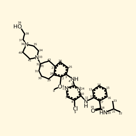 COc1c(Nc2ncc(Cl)c(Nc3ccccc3C(=O)NC(C)C)n2)ccc2c1CCC[C@@H](N1CCN(CCO)CC1)C2